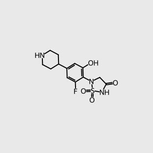 O=C1CN(c2c(O)cc(C3CCNCC3)cc2F)S(=O)(=O)N1